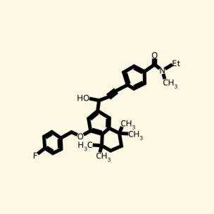 CCN(C)C(=O)c1ccc(C#CC(O)c2cc(OCc3ccc(F)cc3)c3c(c2)C(C)(C)CCC3(C)C)cc1